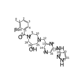 Cc1cccc(C(=O)N2CCN(Cc3cncc(Nc4cc[nH]n4)n3)CC(O)C2)c1F